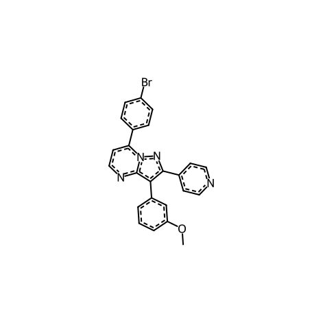 COc1cccc(-c2c(-c3ccncc3)nn3c(-c4ccc(Br)cc4)ccnc23)c1